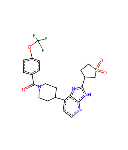 O=C(c1ccc(OC(F)(F)F)cc1)N1CCC(c2ccnc3[nH]c(C4CCS(=O)(=O)C4)nc23)CC1